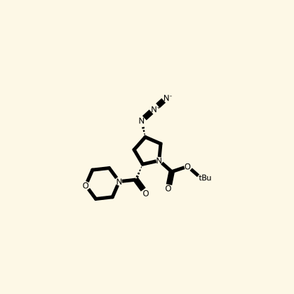 CC(C)(C)OC(=O)N1C[C@@H](N=[N+]=[N-])C[C@H]1C(=O)N1CCOCC1